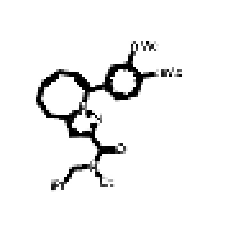 CCN(CC(C)C)C(=O)c1cc2n(n1)/C(c1ccc(OC)c(OC)c1)=C\C=C/CC2